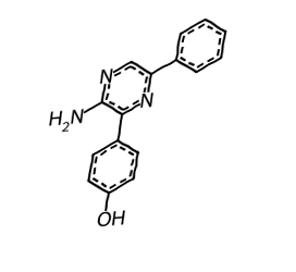 Nc1ncc(-c2ccccc2)nc1-c1ccc(O)cc1